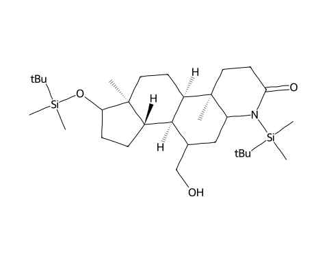 CC(C)(C)[Si](C)(C)OC1CC[C@H]2[C@@H]3C(CO)CC4N([Si](C)(C)C(C)(C)C)C(=O)CC[C@]4(C)[C@@H]3CC[C@]12C